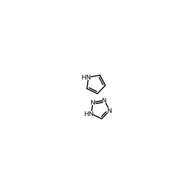 c1cc[nH]c1.c1nnn[nH]1